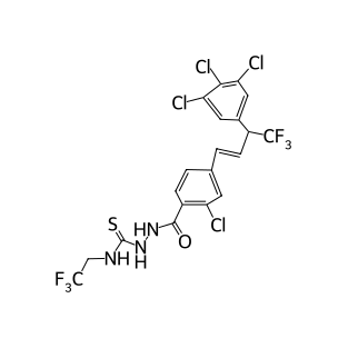 O=C(NNC(=S)NCC(F)(F)F)c1ccc(/C=C/C(c2cc(Cl)c(Cl)c(Cl)c2)C(F)(F)F)cc1Cl